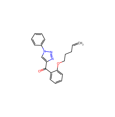 C=CCCCOc1ccccc1C(=O)c1cn(-c2ccccc2)nn1